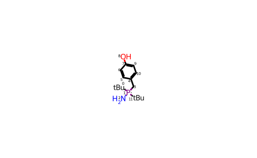 CC(C)(C)[P](N)(Cc1ccc(O)cc1)C(C)(C)C